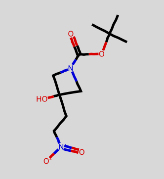 CC(C)(C)OC(=O)N1CC(O)(CC[N+](=O)[O-])C1